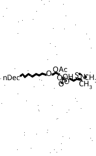 CCCCCCCCCCCCCCCCCCOCC(COP(=O)(O)OCCC1=C(C)N(C)CS1)OC(C)=O